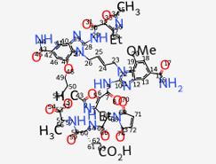 CCc1nc(C)oc1C(=O)Nc1nc2cc(C(N)=O)cc(OC)c2n1C/C=C/Cn1c(NC(=O)c2oc(C)nc2CC)nc2cc(C(N)=O)cc(OCCCOC(=O)[C@@H](C)NC(=O)[C@@H](CCC(=O)O)NC(=O)CN3C(=O)C=CC3=O)c21